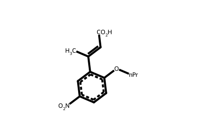 CCCOc1ccc([N+](=O)[O-])cc1C(C)=CC(=O)O